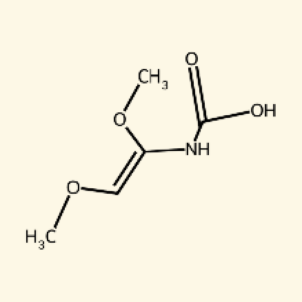 COC=C(NC(=O)O)OC